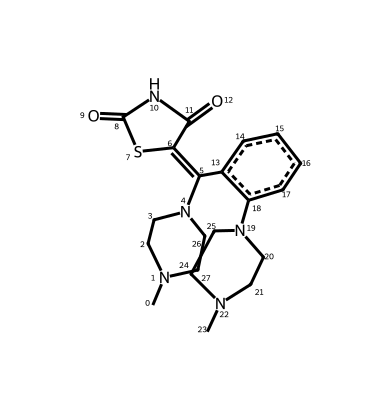 CN1CCN(C(=C2SC(=O)NC2=O)c2ccccc2N2CCN(C)CC2)CC1